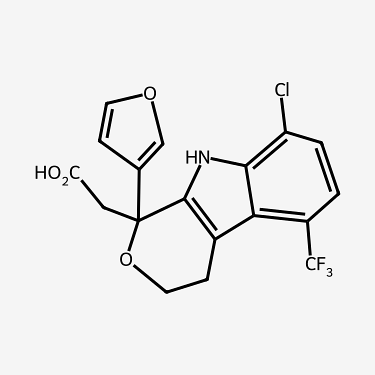 O=C(O)CC1(c2ccoc2)OCCc2c1[nH]c1c(Cl)ccc(C(F)(F)F)c21